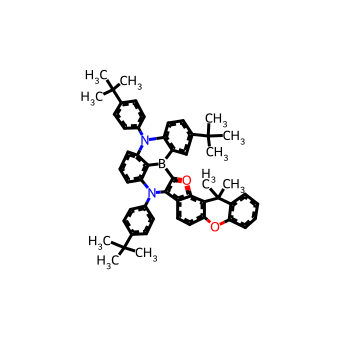 CC(C)(C)c1ccc(N2c3ccc(C(C)(C)C)cc3B3c4oc5c6c(ccc5c4N(c4ccc(C(C)(C)C)cc4)c4cccc2c43)Oc2ccccc2C6(C)C)cc1